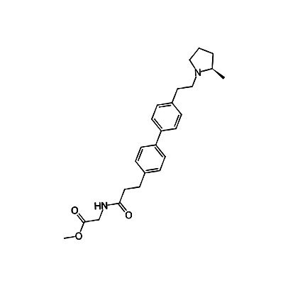 COC(=O)CNC(=O)CCc1ccc(-c2ccc(CCN3CCC[C@H]3C)cc2)cc1